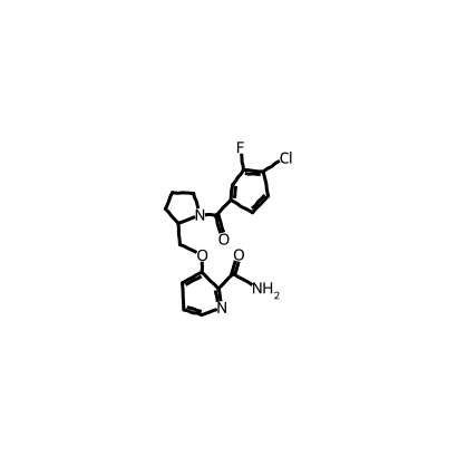 NC(=O)c1ncccc1OCC1CCCN1C(=O)c1ccc(Cl)c(F)c1